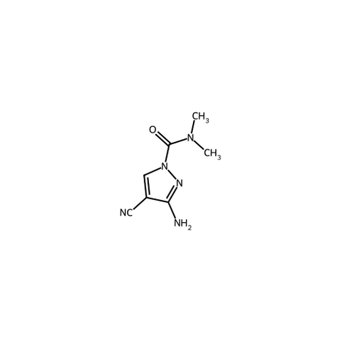 CN(C)C(=O)n1cc(C#N)c(N)n1